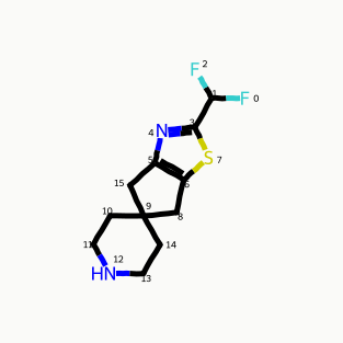 FC(F)c1nc2c(s1)CC1(CCNCC1)C2